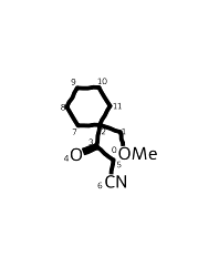 COCC1(C(=O)CC#N)CCCCC1